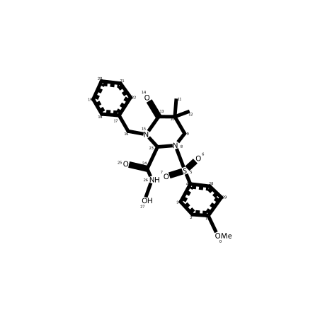 COc1ccc(S(=O)(=O)N2CC(C)(C)C(=O)N(Cc3ccccc3)C2C(=O)NO)cc1